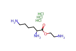 Cl.Cl.Cl.NCCCC[C@H](N)C(=O)OCCN